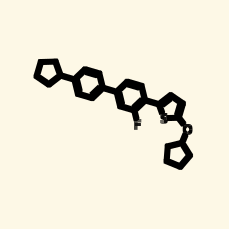 Fc1cc(-c2ccc(C3CCCC3)cc2)ccc1-c1ccc(OC2CCCC2)s1